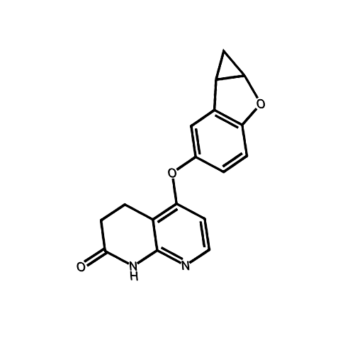 O=C1CCc2c(Oc3ccc4c(c3)C3CC3O4)ccnc2N1